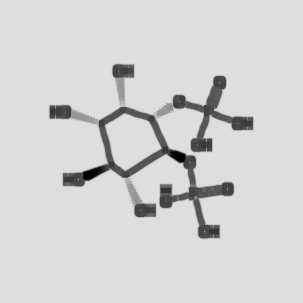 O=P(O)(O)O[C@H]1[C@H](O)[C@@H](O)[C@H](O)[C@H](O)[C@@H]1OP(=O)(O)O